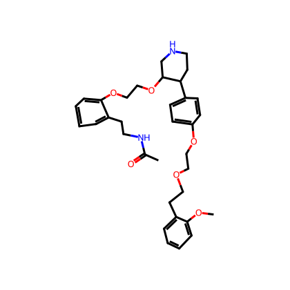 COc1ccccc1CCOCCOc1ccc(C2CCNCC2OCCOc2ccccc2CCNC(C)=O)cc1